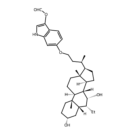 CC[C@H]1[C@@H](O)[C@@H]2[C@H](CC[C@]3(C)[C@@H]([C@H](C)CCOc4ccc5c(OC=O)c[nH]c5c4)CC[C@@H]23)[C@@]2(C)CC[C@@H](O)C[C@@H]12